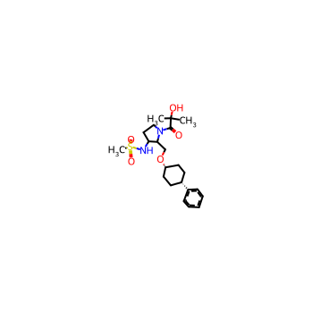 CC(C)(O)C(=O)N1CCC(NS(C)(=O)=O)C1CO[C@H]1CC[C@@H](c2ccccc2)CC1